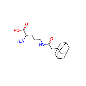 NC(CCCNC(=O)CC12CC3CC(CC(C3)C1)C2)C(=O)O